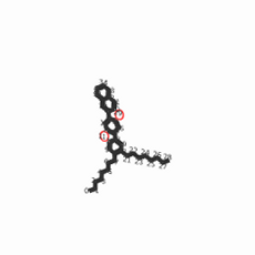 CCCCCCCCc1cc2oc3cc4c(cc3c2cc1CCCCCCCC)oc1cc2ccccc2cc14